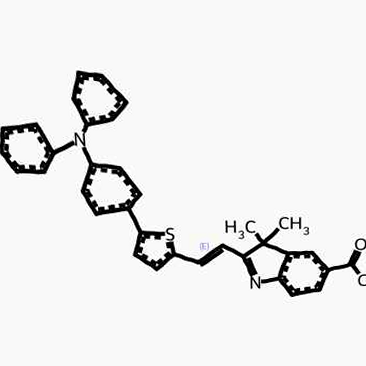 CC1(C)C(/C=C/c2ccc(-c3ccc(N(c4ccccc4)c4ccccc4)cc3)s2)=Nc2ccc(C(=O)O)cc21